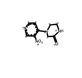 O=C1CN(c2ccncc2[N+](=O)[O-])CCN1